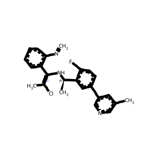 C=Nc1ccccc1/C(N[C@H](C)c1cc(-c2cncc(C)c2)ccc1F)=C(\C)Cl